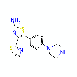 Nc1nc(-c2nccs2)c(-c2ccc(N3CCNCC3)cc2)s1